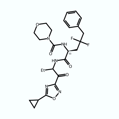 CCC(NC(=O)[C@H](CC(F)(F)Cc1ccccc1)NC(=O)N1CCOCC1)C(=O)c1noc(C2CC2)n1